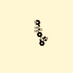 O=C(NCc1cccnc1)Nc1ccc(OCc2ccccc2-n2ccnc2)cc1